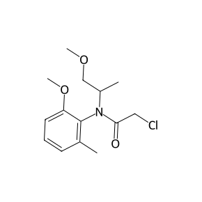 COCC(C)N(C(=O)CCl)c1c(C)cccc1OC